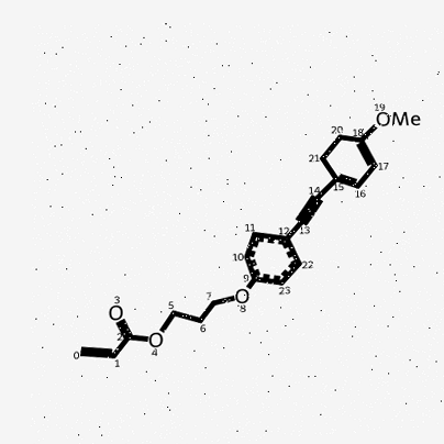 C=CC(=O)OCCCOc1ccc(C#CC2=CC=C(OC)CC2)cc1